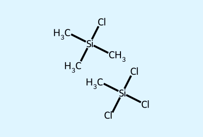 C[Si](C)(C)Cl.C[Si](Cl)(Cl)Cl